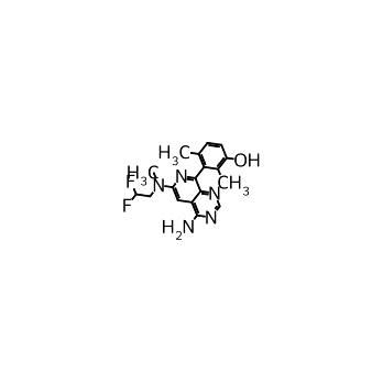 Cc1ccc(O)c(C)c1-c1nc(N(C)CC(F)F)cc2c(N)ncnc12